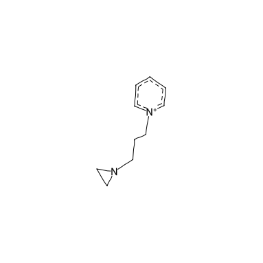 c1cc[n+](CCCN2CC2)cc1